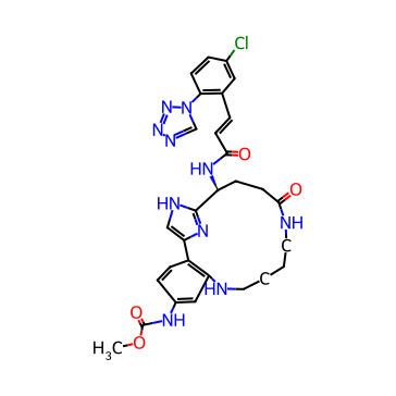 COC(=O)Nc1ccc2c(c1)NCCCCNC(=O)CC[C@H](NC(=O)/C=C/c1cc(Cl)ccc1-n1cnnn1)c1nc-2c[nH]1